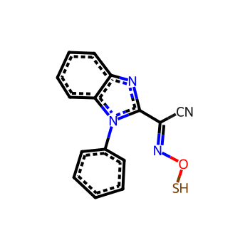 N#C/C(=N\OS)c1nc2ccccc2n1-c1ccccc1